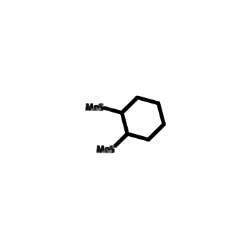 CSC1CCCCC1SC